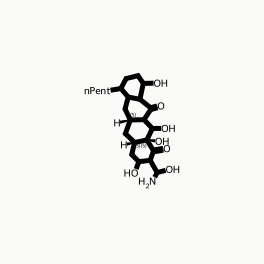 CCCCCC1CCC(O)C2C(=O)C3C(O)[C@]4(O)C(=O)C(C(N)O)C(O)C[C@@H]4C[C@@H]3CC12